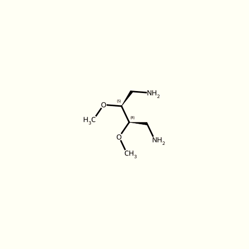 CO[C@@H](CN)[C@@H](CN)OC